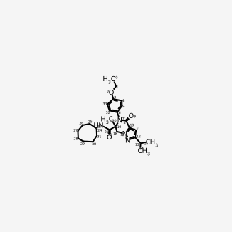 CCOc1ccc(N2C(=O)c3cc(C(C)C)nn3CC2(C)C(=O)NC2CCCCCCC2)cc1